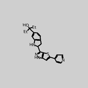 CCC(O)(CC)c1ccc2c(c1)NC(c1n[nH]c3cc(-c4ccncc4)sc13)C2